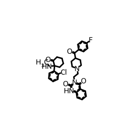 CNC1(c2ccccc2Cl)CCCCC1=O.O=C(c1ccc(F)cc1)C1CCN(CCn2c(=O)[nH]c3ccccc3c2=O)CC1